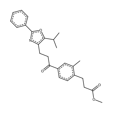 COC(=O)CCc1ccc(C(=O)CCc2nc(-c3ccccc3)oc2C(C)C)cc1C